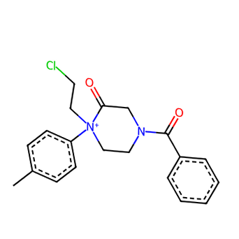 Cc1ccc([N+]2(CCCl)CCN(C(=O)c3ccccc3)CC2=O)cc1